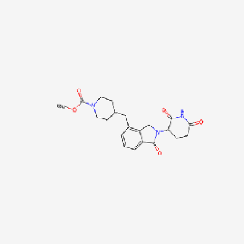 CC(C)(C)OC(=O)N1CCC(Cc2cccc3c2CN(C2CCC(=O)NC2=O)C3=O)CC1